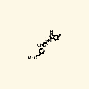 COCCC1CCN(c2ncc(C(=O)Nc3c[nH]c4cc(F)c(F)cc34)cc2Cl)CC1